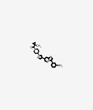 CC1(C(=O)N2CCC(n3cc(-c4cnn5c(-c6cccc(N)c6)cnc5c4)cn3)CC2)CC1